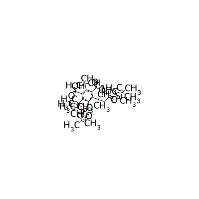 CC(C)OP(=O)(Oc1c(C(C)(C)C)c(C(=O)O)c(C(C)(C)C)c(C(=O)O)c1C(C)(C)CCO[Si](C)(C)C(C)(C)C)OC(C)C